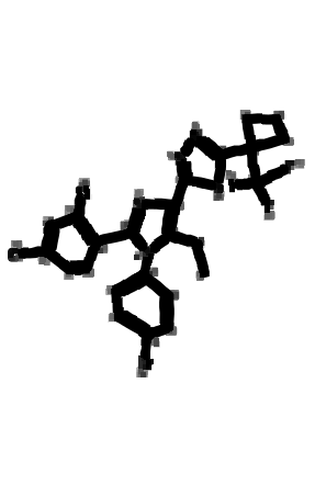 CCc1c(-c2nnc(C3(C(F)(F)F)CCC3)s2)nc(-c2ccc(Cl)cc2Cl)n1-c1ccc(Br)cc1